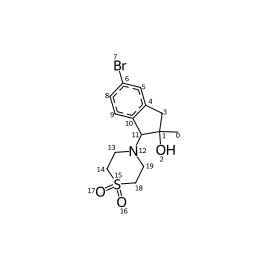 CC1(O)Cc2cc(Br)ccc2C1N1CCS(=O)(=O)CC1